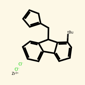 CC(C)(C)c1cccc2c1C(CC1=CC=CC1)c1ccccc1-2.[Cl-].[Cl-].[Zr+2]